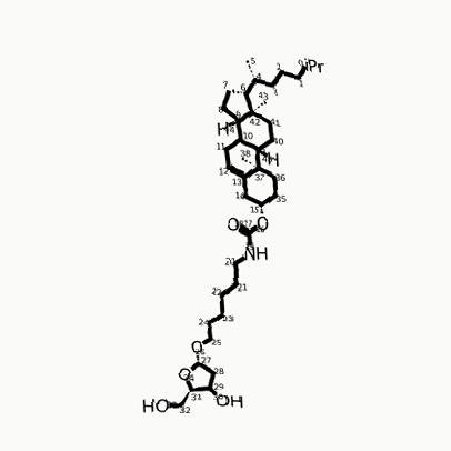 CC(C)CCC[C@@H](C)[C@H]1CC[C@H]2C3CC=C4C[C@@H](OC(=O)NCCCCCCO[C@@H]5CC(O)[C@@H](CO)O5)CC[C@]4(C)[C@H]3CC[C@]12C